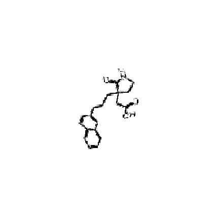 O=C(O)CC1(CCCc2ccc3ccccc3c2)CCNC1=O